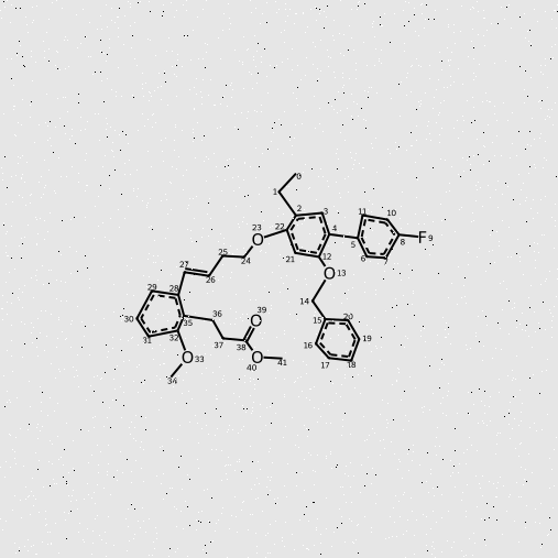 CCc1cc(-c2ccc(F)cc2)c(OCc2ccccc2)cc1OCCC=Cc1cccc(OC)c1CCC(=O)OC